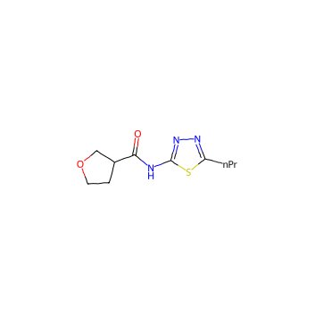 CCCc1nnc(NC(=O)C2CCOC2)s1